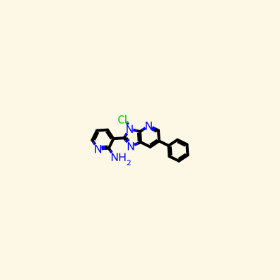 Nc1ncccc1-c1nc2cc(-c3ccccc3)cnc2n1Cl